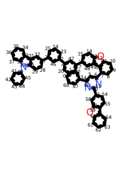 c1ccc(-c2cc(-c3cccc4oc5ccc(-c6cccc(-c7cccc(-c8ccc9c(c8)c8ccccc8n9-c8ccccc8)c7)c6)cc5c34)nc(-c3ccc4c(c3)oc3ccccc34)n2)cc1